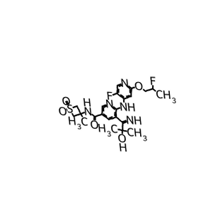 CC(F)COc1cc(Nc2ncc(C(=O)NC3(C)CS(=O)(=O)C3)cc2C(=N)C(C)(C)O)c(F)cn1